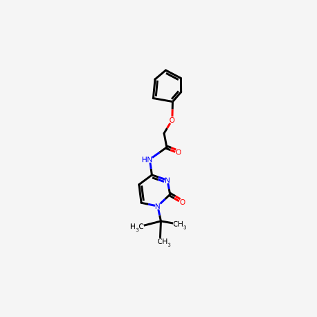 CC(C)(C)n1ccc(NC(=O)COc2ccccc2)nc1=O